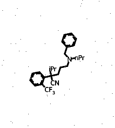 CCCN(CCCC(C#N)(c1ccccc1C(F)(F)F)C(C)C)Cc1ccccc1